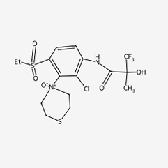 CCS(=O)(=O)c1ccc(NC(=O)C(C)(O)C(F)(F)F)c(Cl)c1[N+]1([O-])CCSCC1